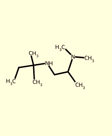 CCC(C)(C)NCC(C)N(C)C